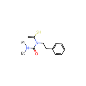 C=C(S)N(CCc1ccccc1)C(=O)N(CC)C(C)C